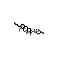 C=CCCc1ccc2c(c1F)Oc1c(cc(OCC3CCC(C=C)CO3)c(F)c1F)C2